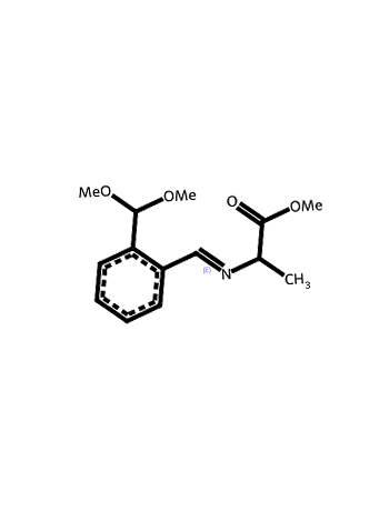 COC(=O)C(C)/N=C/c1ccccc1C(OC)OC